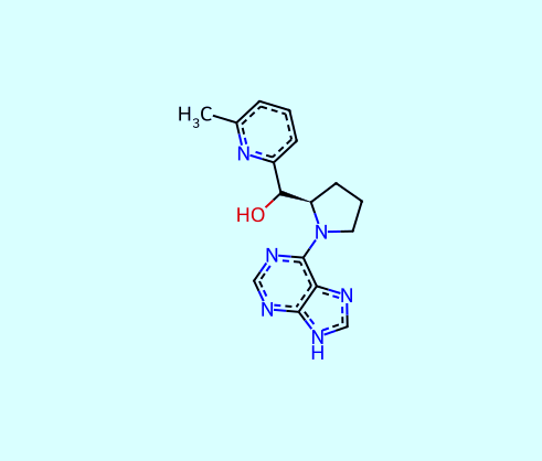 Cc1cccc(C(O)[C@H]2CCCN2c2ncnc3[nH]cnc23)n1